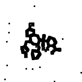 CC1C(S(=O)(=O)N2Cc3cc(C#N)ccc3N(Cc3c[nH]cn3)C[C@H]2Cc2ccccc2)=CC=CC1=S(=O)=O